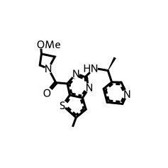 COC1CN(C(=O)c2nc(N[C@@H](C)c3cccnc3)nc3cc(C)sc23)C1